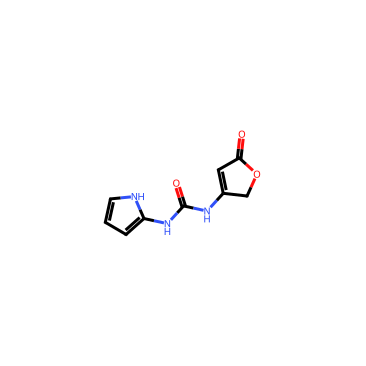 O=C(NC1=CC(=O)OC1)Nc1ccc[nH]1